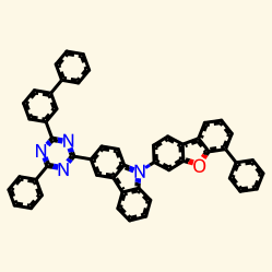 c1ccc(-c2cccc(-c3nc(-c4ccccc4)nc(-c4ccc5c(c4)c4ccccc4n5-c4ccc5c(c4)oc4c(-c6ccccc6)cccc45)n3)c2)cc1